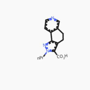 CCCn1nc2c(c1C(=O)O)CCc1cnccc1-2